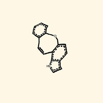 C1=Cc2c(ccc3cc[nH]c23)Oc2ccccc21